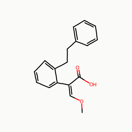 COC=C(C(=O)O)c1ccccc1CCc1ccccc1